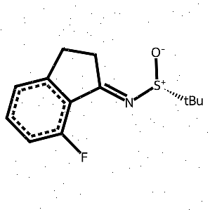 CC(C)(C)[S@@+]([O-])N=C1CCc2cccc(F)c21